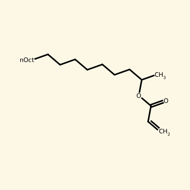 C=CC(=O)OC(C)CCCCCCCCCCCCCCC